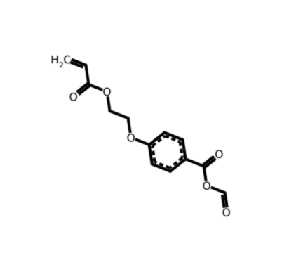 C=CC(=O)OCCOc1ccc(C(=O)OC=O)cc1